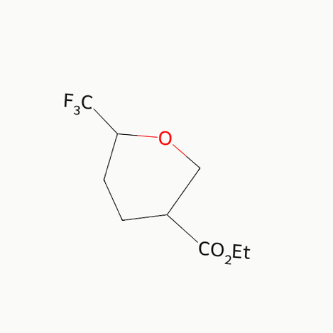 CCOC(=O)C1CCC(C(F)(F)F)OC1